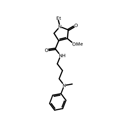 CCN1CC(C(=O)NCCCN(C)c2ccccc2)=C(OC)C1=O